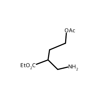 CCOC(=O)C(CN)CCOC(C)=O